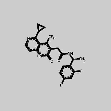 C[C@H](NC(=O)Cc1c(C(F)(F)F)c2c(C3CC3)nccc2[nH]c1=O)c1ccc(F)cc1F